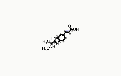 CN[C@@H](C)c1nc2ccc(/C=C/C(=O)O)cc2[nH]1